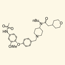 CCCCN(C(=O)CC1CCOCC1)C1CCN(Cc2ccc(Oc3ccc(NS(C)(=O)=O)cc3OC)cc2)CC1